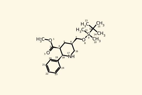 COC(=O)[C@H]1C[C@@H](CO[Si](C)(C)C(C)(C)C)CN[C@H]1c1ccccc1